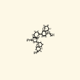 CC(C)N1CCC2(CCCC(C3CN(C(C)C)CC4(CCCC(C5CCN(SS)C6(CCCCO6)C5)O4)C3)O2)CC1